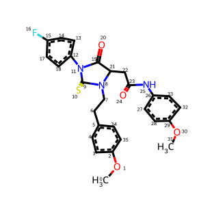 COc1ccc(CCN2C(=S)N(c3ccc(F)cc3)C(=O)C2CC(=O)Nc2ccc(OC)cc2)cc1